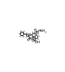 NCCC(=O)NCC(CN1CCC[C@H]1C(=O)O)NC(CCc1ccccc1)C(=O)O